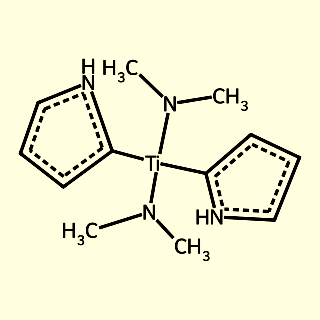 C[N](C)[Ti]([c]1ccc[nH]1)([c]1ccc[nH]1)[N](C)C